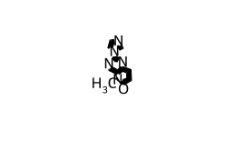 Cn1c(=O)ccc2nc(-n3ccnc3)ncc21